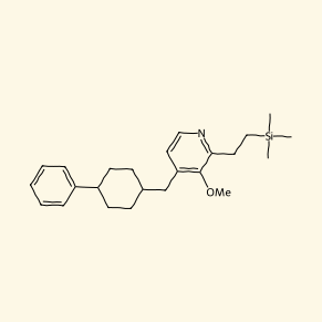 COc1c(CC2CCC(c3ccccc3)CC2)ccnc1CC[Si](C)(C)C